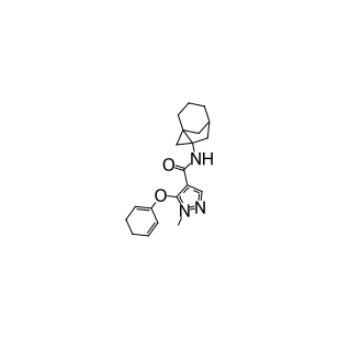 Cn1ncc(C(=O)NC23CC4CCCC2(C4)C3)c1OC1=CCCC=C1